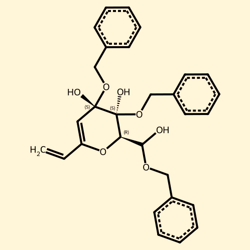 C=CC1=C[C@](O)(OCc2ccccc2)[C@@](O)(OCc2ccccc2)[C@@H](C(O)OCc2ccccc2)O1